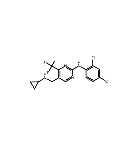 FC(F)(F)c1nc(Nc2ccc(Cl)cc2Cl)ncc1CNC1CC1